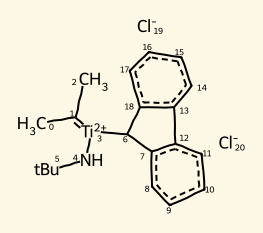 C[C](C)=[Ti+2]([NH]C(C)(C)C)[CH]1c2ccccc2-c2ccccc21.[Cl-].[Cl-]